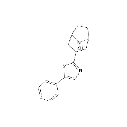 CN1C2CCC1CC(c1ncc(-c3ccccc3)s1)C2